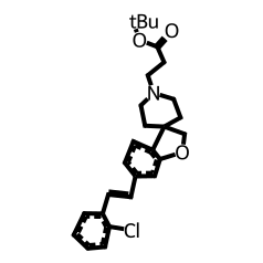 CC(C)(C)OC(=O)CCN1CCC2(CC1)COc1cc(C=Cc3ccccc3Cl)ccc12